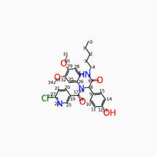 CCCCCNC(=O)C(c1ccc(O)cc1)N(C(=O)c1ccc(Cl)nc1)c1ccc(OC)c(OC)c1